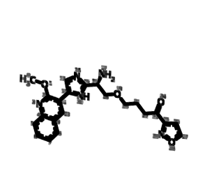 COc1nc2ccccc2cc1-c1cnc([C@@H](N)COCCCC(=O)c2ccon2)[nH]1